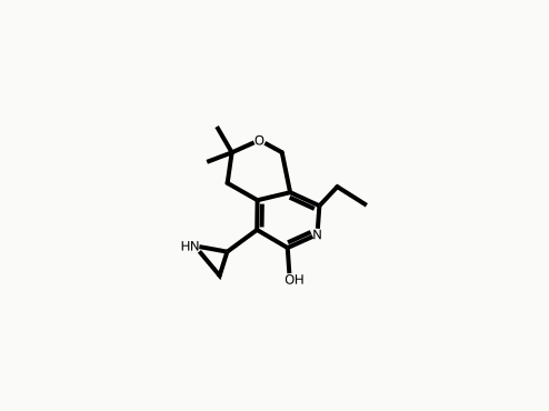 CCc1nc(O)c(C2CN2)c2c1COC(C)(C)C2